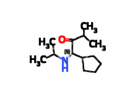 CC(C)N[C@H](C(=O)C(C)C)C1CCCC1